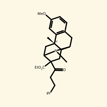 CCOC(=O)C1(C(=O)CCC(C)C)CC2C3Cc4ccc(OC)cc4[C@@]2(C)CC1N3C